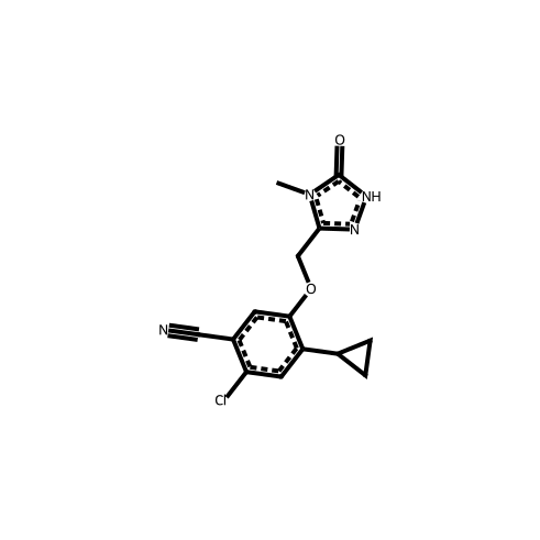 Cn1c(COc2cc(C#N)c(Cl)cc2C2CC2)n[nH]c1=O